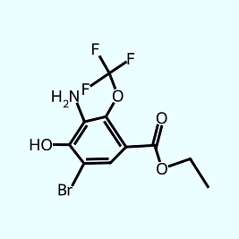 CCOC(=O)c1cc(Br)c(O)c(N)c1OC(F)(F)F